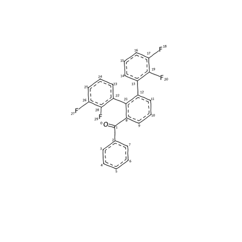 O=C(c1ccccc1)c1cccc(-c2cccc(F)c2F)c1-c1cccc(F)c1F